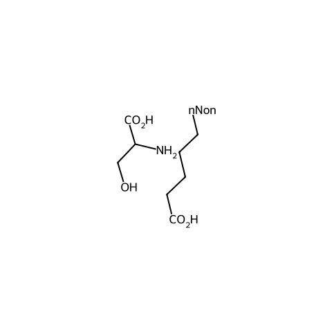 CCCCCCCCCCCCCC(=O)O.NC(CO)C(=O)O